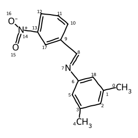 Cc1cc(C)cc(N=Cc2cccc([N+](=O)[O-])c2)c1